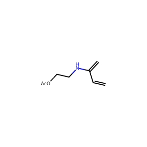 C=CC(=C)NCCOC(C)=O